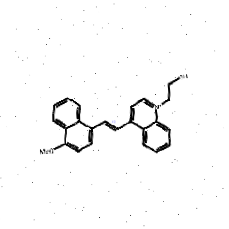 COc1ccc(/C=C/c2cc[n+](CCS)c3ccccc23)c2ccccc12